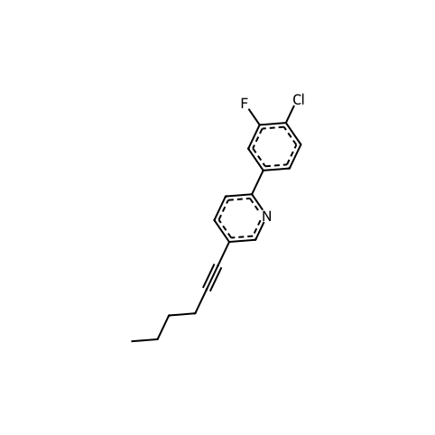 CCCCC#Cc1ccc(-c2ccc(Cl)c(F)c2)nc1